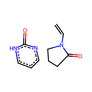 C=CN1CCCC1=O.O=c1nccc[nH]1